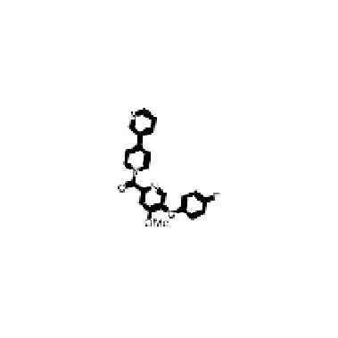 COc1cc(C(=O)N2C=CC(c3cccnc3)=CC2)ncc1Oc1ccc(F)cc1